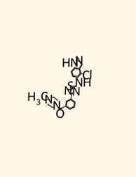 CN1CCN(C(=O)c2cccc(-c3nsc(Nc4ccc5[nH]ncc5c4Cl)n3)c2)CC1